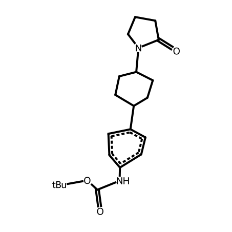 CC(C)(C)OC(=O)Nc1ccc(C2CCC(N3CCCC3=O)CC2)cc1